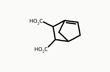 O=C(O)C1C2=CCC(C2)C1C(=O)O